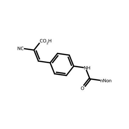 CCCCCCCCCC(=O)Nc1ccc(C=C(C#N)C(=O)O)cc1